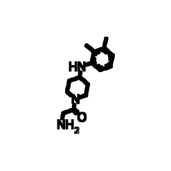 Cc1cccc(NC2CCN(C(=O)CN)CC2)c1C